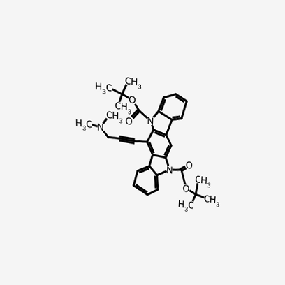 CN(C)CC#Cc1c2c3ccccc3n(C(=O)OC(C)(C)C)c2cc2c3ccccc3n(C(=O)OC(C)(C)C)c12